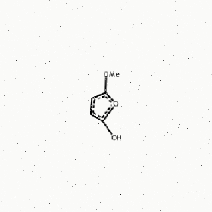 COc1ccc(O)o1